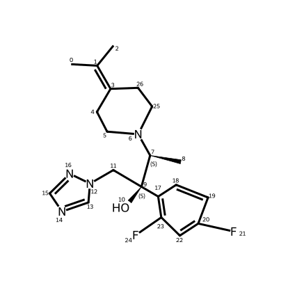 CC(C)=C1CCN([C@@H](C)[C@@](O)(Cn2cncn2)c2ccc(F)cc2F)CC1